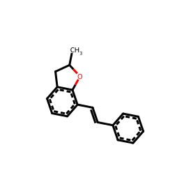 CC1Cc2cccc(C=Cc3ccccc3)c2O1